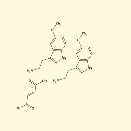 COc1ccc2[nH]cc(CCN)c2c1.COc1ccc2[nH]cc(CCN)c2c1.O=C(O)/C=C/C(=O)O